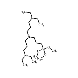 CCN(CC)CCCN(CCCN(CC)CC)CCC[Si](OC)(OC)OC